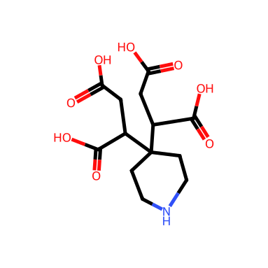 O=C(O)CC(C(=O)O)C1(C(CC(=O)O)C(=O)O)CCNCC1